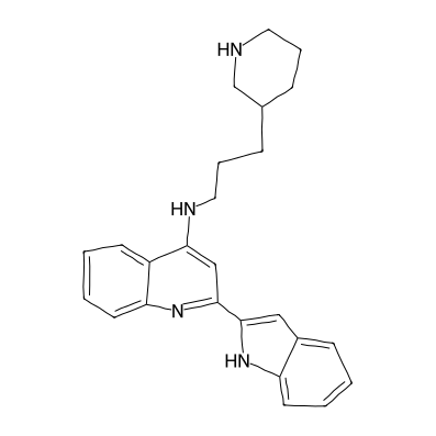 c1ccc2[nH]c(-c3cc(NCCCC4CCCNC4)c4ccccc4n3)cc2c1